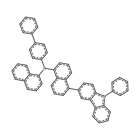 c1ccc(-c2ccc(N(c3cccc4ccccc34)c3cccc4c(-c5ccc6c(c5)c5ccccc5n6-c5ccccc5)cccc34)cc2)cc1